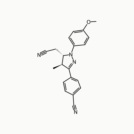 COc1ccc(N2N=C(c3ccc(C#N)cc3)[C@@H](C)[C@@H]2CC#N)cc1